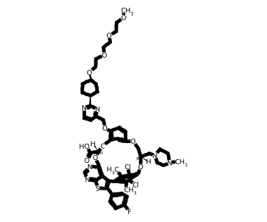 COCCOCCOCCO[C@H]1CC[C@@H](c2nccc(COc3ccc4cc3C[C@H](C(=O)O)Oc3ncnc5sc(-c6ccc(F)cc6)c(c35)-c3c(C)c(Cl)c(c(Cl)c3C)O[C@H](CN3CCN(C)CC3)CO4)n2)CC1